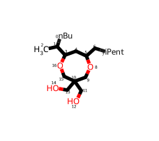 CCCCC(C)C1CC(CC(C)CCC)OCC(CO)(CO)CO1